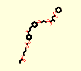 C=CC(=O)OCCCCOC(=O)Oc1ccc(C(=O)/C=C/c2ccc(OCCCOC(=O)C(=C)CC(=O)OC3CCCCC3)cc2)cc1